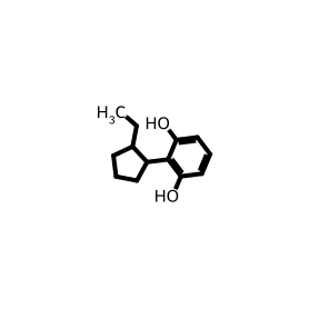 CCC1CCCC1c1c(O)cccc1O